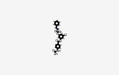 CC(C)C(=O)Nc1ccc(C(=O)Oc2cc(Cl)cc(OS(=O)(=O)/C=C/c3ccccc3)c2)cc1